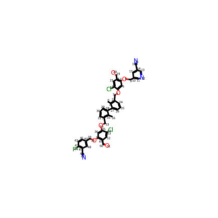 Cc1c(COc2cc(OCc3cncc(C#N)c3)c(C=O)cc2Cl)cccc1-c1cccc(COc2cc(OCc3ccc(F)c(C#N)c3)c(C=O)cc2Cl)c1C